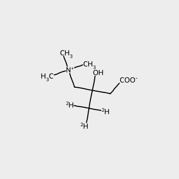 [2H]C([2H])([2H])C(O)(CC(=O)[O-])C[N+](C)(C)C